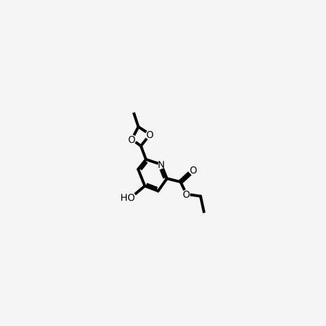 CCOC(=O)c1cc(O)cc(C2OC(C)O2)n1